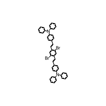 Brc1cc(/C=C/c2ccc(N(c3ccccc3)c3ccccc3)cc2)c(Br)cc1/C=C/c1ccc(N(c2ccccc2)c2ccccc2)cc1